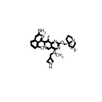 CN(CC1CNC1)c1nc(OC[C@@]23CCCN2C[C@H](F)C3)nc2c(F)c(-c3nc(N)cc4cccc(Cl)c34)ncc12